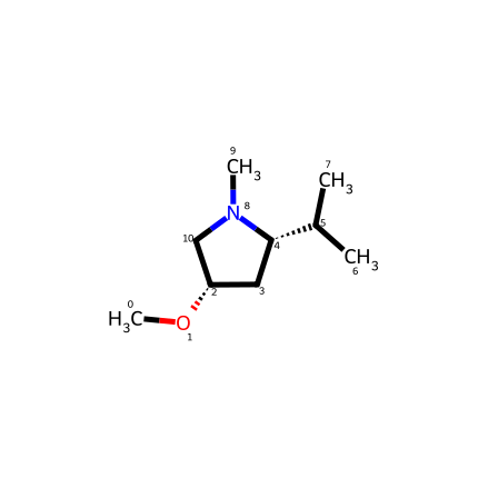 CO[C@H]1C[C@@H](C(C)C)N(C)C1